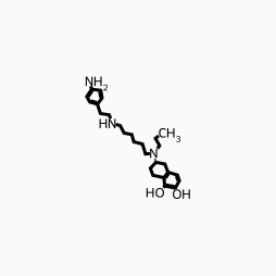 CCCN(CCCCCCNCCc1ccc(N)cc1)[C@H]1CCc2c(ccc(O)c2O)C1